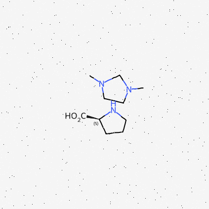 CN1CCN(C)C1.O=C(O)[C@@H]1CCCN1